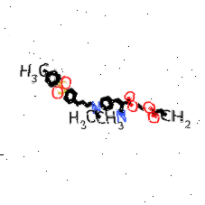 C=CC(=O)OCCOC(=O)/C(C#N)=C/c1ccc(N(CCCCc2ccc(S(=O)(=O)c3ccc(C)cc3)cc2)C(C)C)cc1